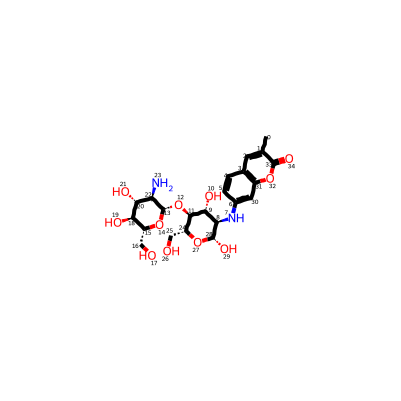 Cc1cc2ccc(N[C@@H]3[C@@H](O)[C@H](O[C@@H]4O[C@H](CO)[C@@H](O)[C@H](O)[C@H]4N)[C@@H](CO)O[C@H]3O)cc2oc1=O